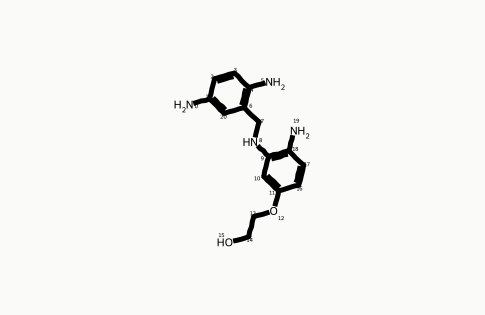 Nc1ccc(N)c(CNc2cc(OCCO)ccc2N)c1